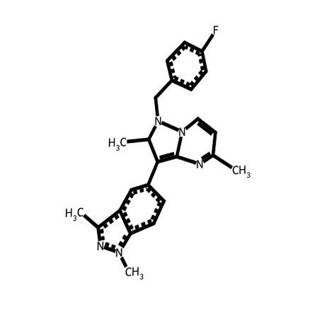 CC1=NC2=C(c3ccc4c(c3)c(C)nn4C)C(C)N(Cc3ccc(F)cc3)N2C=C1